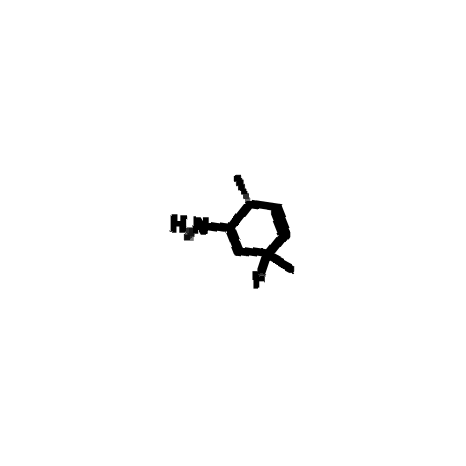 C[C@@H]1C=CC(C)(F)CC1N